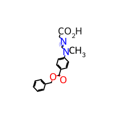 CN(/C=N/CC(=O)O)c1ccc(C(=O)OCc2ccccc2)cc1